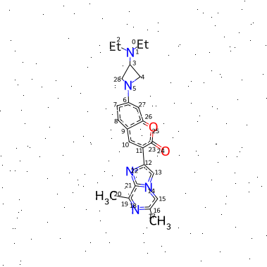 CCN(CC)C1CN(c2ccc3cc(-c4cn5cc(C)nc(C)c5n4)c(=O)oc3c2)C1